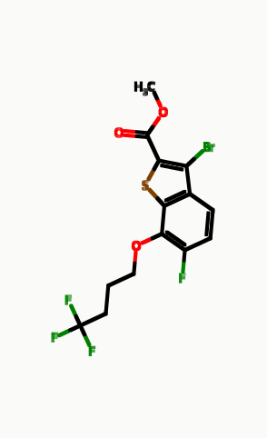 COC(=O)c1sc2c(OCCCC(F)(F)F)c(F)ccc2c1Br